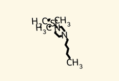 C=C[Si](C)(C)N1CCN(CCCCCC)CC1